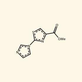 COC(=O)c1csc(-n2ccnc2)n1